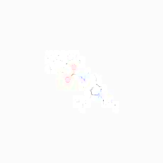 Cc1c2c(cn1C)CCN(C(=O)OC(C)(C)C)C2